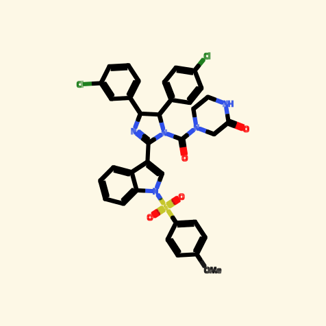 COc1ccc(S(=O)(=O)n2cc(C3=NC(c4cccc(Cl)c4)C(c4ccc(Cl)cc4)N3C(=O)N3CCNC(=O)C3)c3ccccc32)cc1